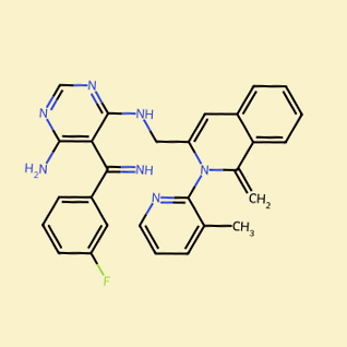 C=C1c2ccccc2C=C(CNc2ncnc(N)c2C(=N)c2cccc(F)c2)N1c1ncccc1C